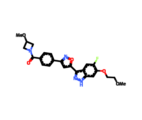 COCCOc1cc2[nH]nc(-c3cc(-c4ccc(C(=O)N5CC(OC)C5)cc4)no3)c2cc1F